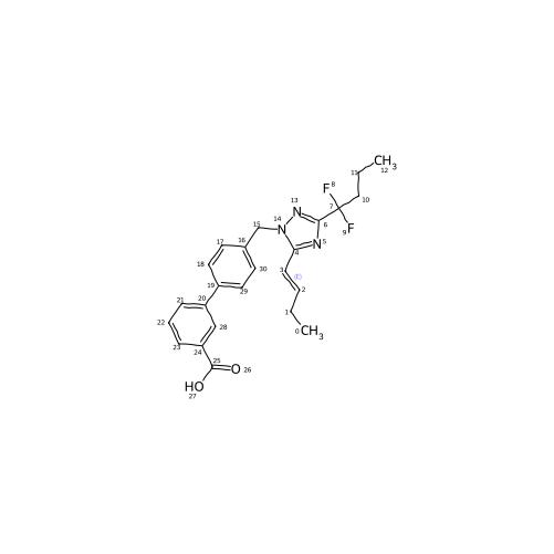 CC/C=C/c1nc(C(F)(F)CCC)nn1Cc1ccc(-c2cccc(C(=O)O)c2)cc1